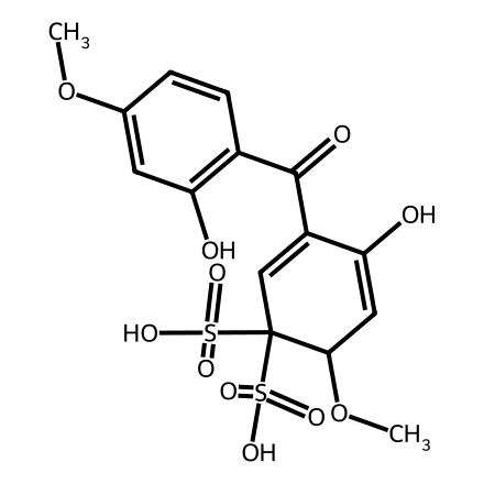 COc1ccc(C(=O)C2=CC(S(=O)(=O)O)(S(=O)(=O)O)C(OC)C=C2O)c(O)c1